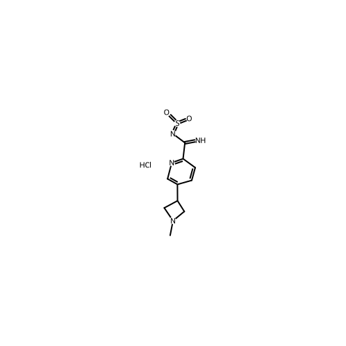 CN1CC(c2ccc(C(=N)N=S(=O)=O)nc2)C1.Cl